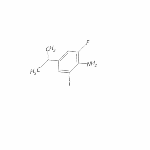 CC(C)c1cc(F)c(N)c(I)c1